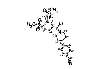 CS(=O)(=O)Nc1cc(C(=O)N2CCC(c3ccc(C#N)cc3)CC2)ccc1S(C)(=O)=O